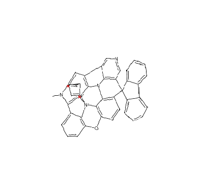 Cn1c2[n+](c3ccccc31)[N+]13c4c(cccc4-2)Oc2ccc4c(c21)-n1c2c(cncc2c2ccc[n+]3c21)C41c2ccccc2-c2ccccc21